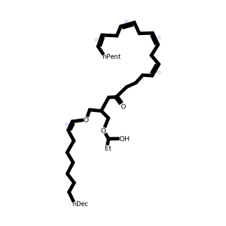 CCCCC/C=C\C/C=C\C/C=C\C/C=C\CCCC(=O)CC(CO/C=C\CCCCCCCCCCCCCCCC)COC(O)CC